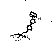 NC(CO)(CO)CCc1ccc(-c2ccc(O)c(C34CC5CC(CC(C5)C3)C4)c2)cc1